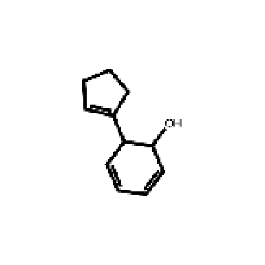 OC1C=CC=CC1C1=CCCC1